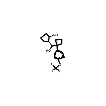 N[C@@H]1CCC[C@@H]1C(O)C1(c2ccc(OC(F)(F)F)cc2)CCC1